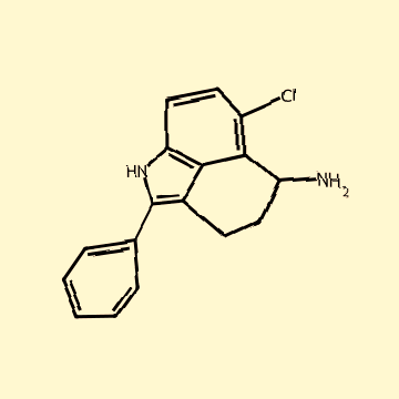 NC1CCc2c(-c3ccccc3)[nH]c3ccc(Cl)c1c23